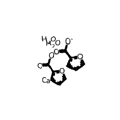 O.O.O=C([O-])c1ccco1.O=C([O-])c1ccco1.[Ca+2]